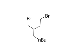 CCCCCC(CBr)CCBr